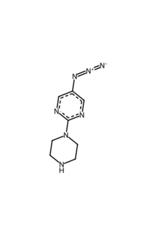 [N-]=[N+]=Nc1cnc(N2CCNCC2)nc1